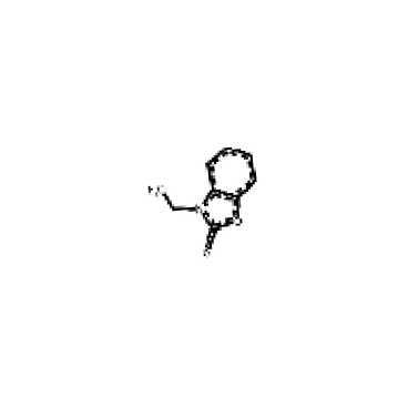 O=c1oc2ccccc2n1CC(F)(F)F